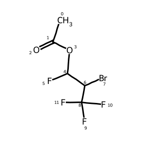 CC(=O)OC(F)C(Br)C(F)(F)F